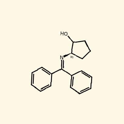 OC1CCC[C@H]1N=C(c1ccccc1)c1ccccc1